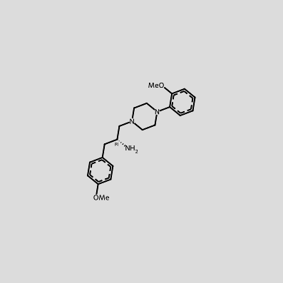 COc1ccc(C[C@@H](N)CN2CCN(c3ccccc3OC)CC2)cc1